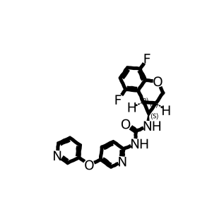 O=C(Nc1ccc(Oc2cccnc2)cn1)N[C@@H]1[C@@H]2COc3c(F)ccc(F)c3[C@@H]21